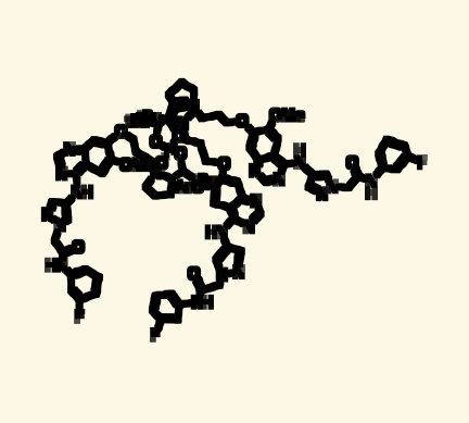 COc1cc2c(Nc3cnn(CC(=O)Nc4cccc(F)c4)c3)ncnc2cc1OCCCN1CCC[C@@H]1C(OP(=O)(OC([C@H]1CCCN1CCCOc1cc2ncnc(Nc3cnn(CC(=O)Nc4cccc(F)c4)c3)c2cc1OC)C(C)(C)C)OC([C@H]1CCCN1CCCOc1cc2ncnc(Nc3cnn(CC(=O)Nc4cccc(F)c4)c3)c2cc1OC)C(C)(C)C)C(C)(C)C